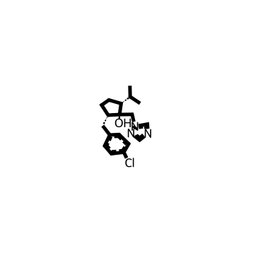 CC(C)[C@H]1CC[C@@H](Cc2ccc(Cl)cc2)[C@]1(O)Cn1cncn1